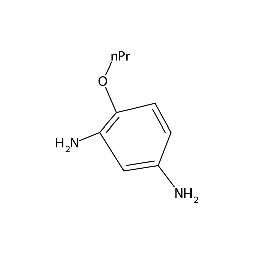 [CH2]CCOc1ccc(N)cc1N